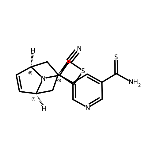 N#C[C@@]1(c2cncc(C(N)=S)c2)C[C@H]2C=C[C@@H](C1)N2C1CSC1